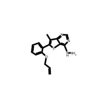 C=CCOc1ccccc1-c1sc2c(NN)ncnc2c1C